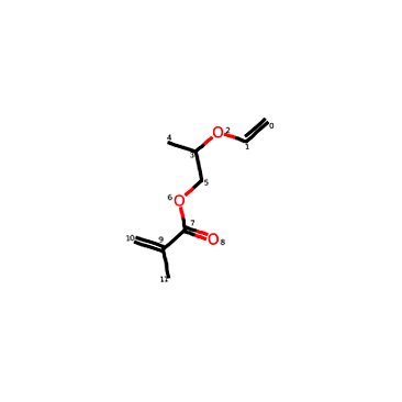 C=COC(C)COC(=O)C(=C)C